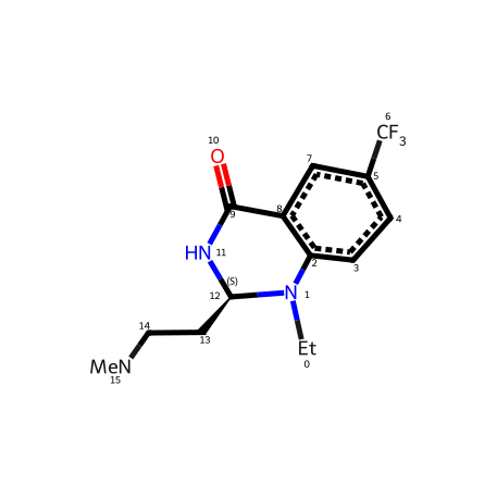 CCN1c2ccc(C(F)(F)F)cc2C(=O)N[C@@H]1CCNC